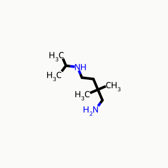 CC(C)NCCC(C)(C)CN